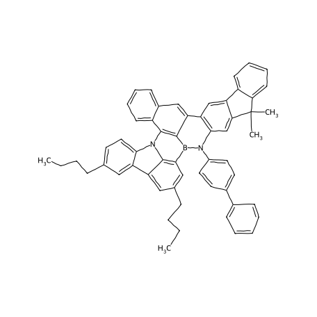 CCCCc1ccc2c(c1)c1cc(CCCC)cc3c1n2-c1c2c(cc4ccccc14)-c1cc4c(cc1N(c1ccc(-c5ccccc5)cc1)B23)C(C)(C)c1ccccc1-4